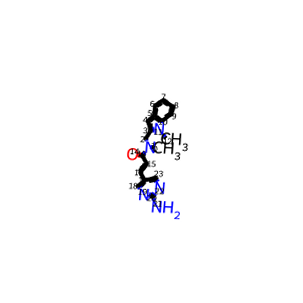 CN(Cc1cc2ccccc2n1C)C(=O)C=Cc1cnc(N)nc1